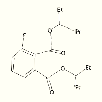 CCC(OC(=O)c1cccc(F)c1C(=O)OC(CC)C(C)C)C(C)C